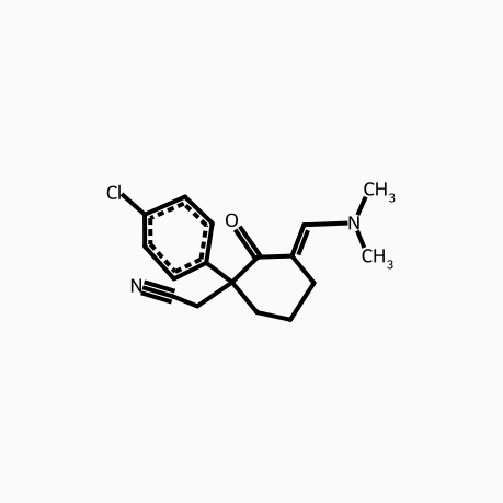 CN(C)C=C1CCCC(CC#N)(c2ccc(Cl)cc2)C1=O